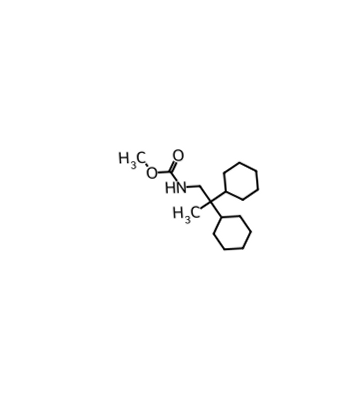 COC(=O)NCC(C)(C1CCCCC1)C1CCCCC1